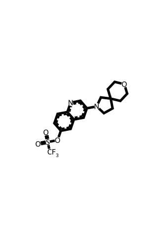 O=S(=O)(Oc1ccc2ncc(N3CCC4(CCOCC4)C3)cc2c1)C(F)(F)F